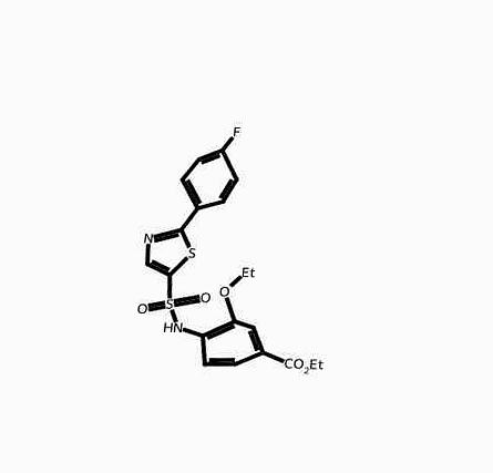 CCOC(=O)c1ccc(NS(=O)(=O)c2cnc(-c3ccc(F)cc3)s2)c(OCC)c1